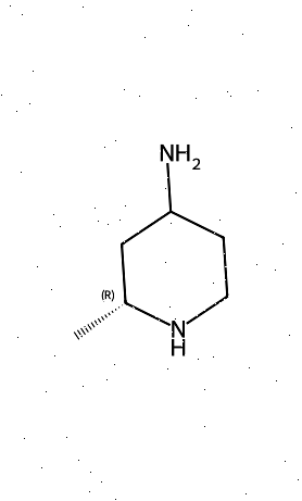 C[C@@H]1CC(N)CCN1